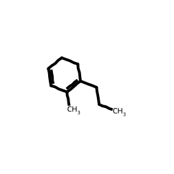 CCCC1=C(C)C=CCC1